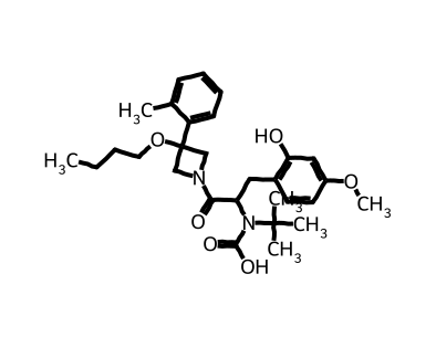 CCCCOC1(c2ccccc2C)CN(C(=O)C(Cc2ccc(OC)cc2O)N(C(=O)O)C(C)(C)C)C1